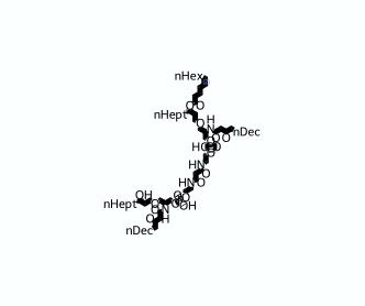 CCCCCC/C=C\CCCC(=O)O[C@H](CCCCCCC)CCOCC(COP(=O)(O)OCCNC(=O)CC(=O)NCCOP(=O)(O)OCC(COCC[C@H](O)CCCCCCC)NC(=O)CC(=O)CCCCCCCCCCC)NC(=O)CC(=O)CCCCCCCCCCC